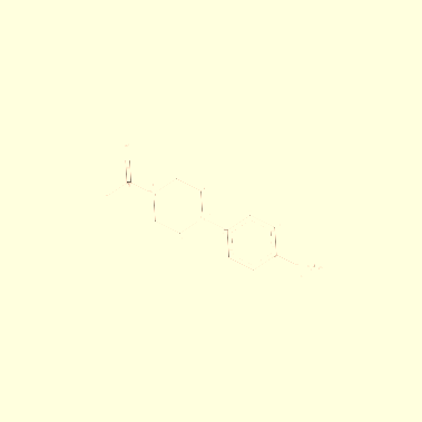 COc1ccc(N2CCN(C(=O)Cl)CC2)cc1